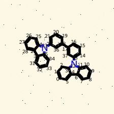 C1=CCC2C(=C1)c1ccccc1N2c1cccc(-c2cccc(-n3c4ccccc4c4ccccc43)c2)c1